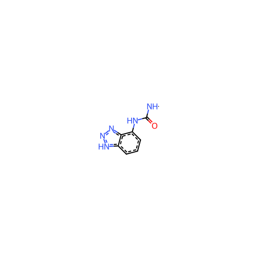 [NH]C(=O)Nc1cccc2[nH]nnc12